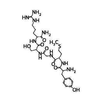 CSCCC(NC(=O)C(N)Cc1ccc(O)cc1)C(=O)NCC(=O)NC(CO)C(=O)NC(CCCNC(=N)N)C(N)=O